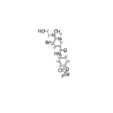 CN(CCO)c1ncc(C(=O)Nc2ccc(OC(F)(F)Cl)cc2)cc1Br